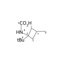 CC1CC(NC(=O)O)(C(C)(C)C)C1